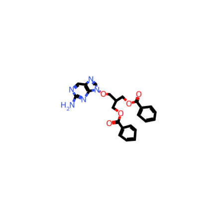 Nc1ncc2ncn(OCC(COC(=O)c3ccccc3)COC(=O)c3ccccc3)c2n1